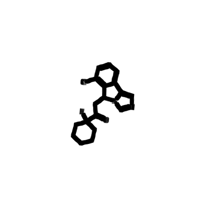 O=C(CC1c2c(Cl)cccc2-c2cncn21)C1(F)CCCCC1